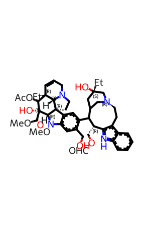 CC[C@]1(O)CC2C[N@](CCc3c([nH]c4ccccc34)[C@H](COC=O)C2c2cc3c(cc2CO)N(OC)[C@@H]2[C@]34CCN3CC=C[C@@](CC)(C(OC(C)=O)[C@]2(O)C(=O)OC)[C@H]34)C1